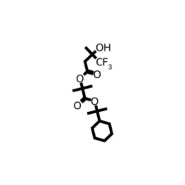 CC(C)(OC(=O)CC(C)(O)C(F)(F)F)C(=O)OC(C)(C)C1CCCCC1